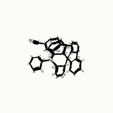 N#Cc1ccc(-c2cccc3c2C2(c4ccccc4-3)c3ccccc3N(c3ccccc3)c3ccccc32)cc1